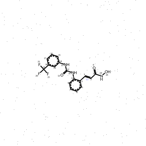 O=C(/C=C/c1ccccc1NC(=O)Nc1cccc(C(F)(F)F)c1)NO